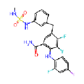 CNS(=O)(=O)Nc1cccc(Cc2cc(C(N)=O)c(Nc3ccc(I)cc3F)c(F)c2F)c1